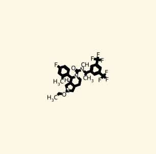 CCON1CC2CCN(C(=O)N(C)C(C)c3cc(C(F)(F)F)cc(C(F)(F)F)c3)C(c3ccc(F)cc3C)[C@@H]2C1